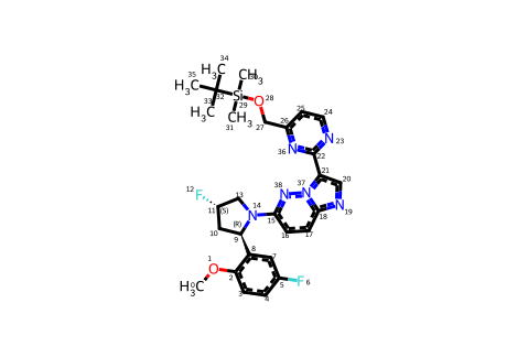 COc1ccc(F)cc1[C@H]1C[C@H](F)CN1c1ccc2ncc(-c3nccc(CO[Si](C)(C)C(C)(C)C)n3)n2n1